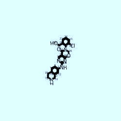 O=C1c2cnc(Nc3ccc4c(c3)CNCC4)nc2OCN1c1c(Cl)cccc1CO